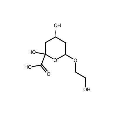 O=C(O)C1(O)C[C@H](O)CC(OCCO)O1